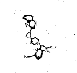 Cn1c(=O)cc(N2CCC(Oc3cnc4ccccc4n3)CC2)c2nc(C#N)ccc21